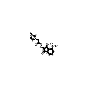 Cn1cc[n+](CC(=O)ON=c2c(=O)c3cccc([N+](=O)[O-])c3c2=O)c1